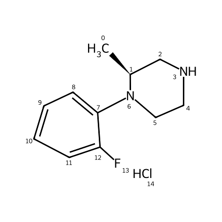 C[C@H]1CNCCN1c1ccccc1F.Cl